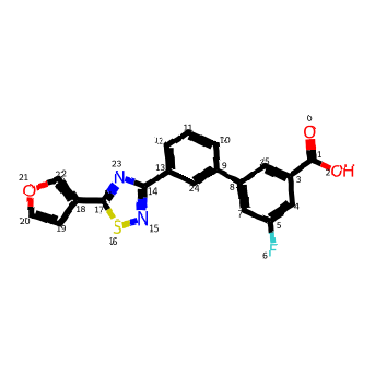 O=C(O)c1cc(F)cc(-c2cccc(-c3nsc(-c4ccoc4)n3)c2)c1